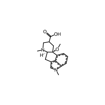 CO[C@]12CC(C(=O)O)CN(C)[C@@H]1Cc1cn(C)c3cccc2c13